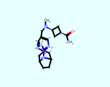 CC(=O)[C@H]1C[C@@H](N(C)Cc2cnc(N3C4CCC3CN(C)C4)nc2)C1